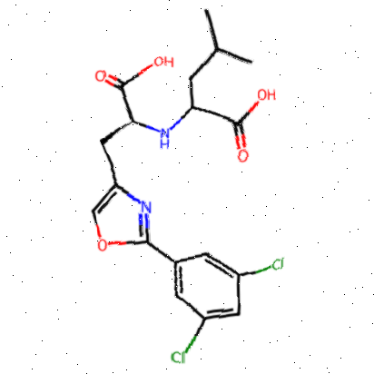 CC(C)CC(N[C@@H](Cc1coc(-c2cc(Cl)cc(Cl)c2)n1)C(=O)O)C(=O)O